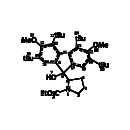 CCOC(=O)N1CCCC1C(O)(c1cc(C(C)(C)C)c(OC)c(C(C)(C)C)c1)c1cc(C(C)(C)C)c(OC)c(C(C)(C)C)c1